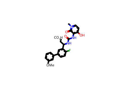 COc1cccc(-c2ccc(F)c(C(CC(=O)O)NC(=O)Nc3c(O)ccn(C)c3=O)c2)c1